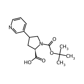 CC(C)(C)OC(=O)N1CC(c2cccnc2)C[C@@H]1C(=O)O